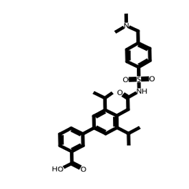 CC(C)c1cc(-c2cccc(C(=O)O)c2)cc(C(C)C)c1CC(=O)NS(=O)(=O)c1ccc(CN(C)C)cc1